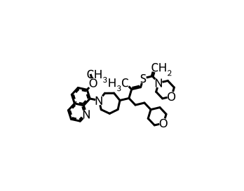 C=C(S/C=C(\C)C(CCC1CCOCC1)C1CCCN(c2c(OC)ccc3cccnc23)CC1)N1CCOCC1